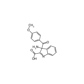 COc1ccc(C(=O)C2(N)C(C(=O)O)=Nc3ccccc32)cc1